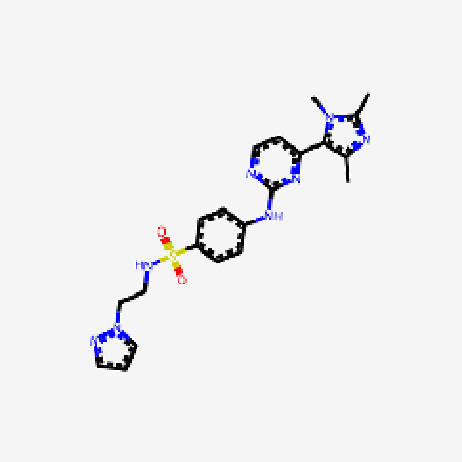 Cc1nc(C)n(C)c1-c1ccnc(Nc2ccc(S(=O)(=O)NCCn3cccn3)cc2)n1